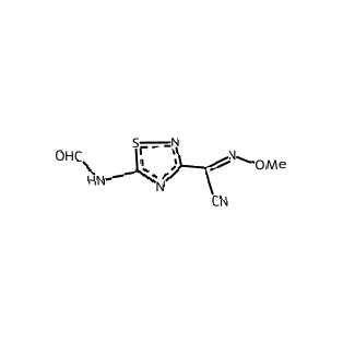 CON=C(C#N)c1nsc(NC=O)n1